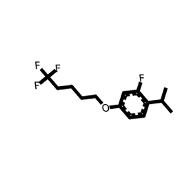 CC(C)c1ccc(OCCCCC(F)(F)F)cc1F